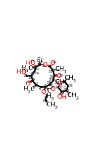 C=CCO[C@@]1(C)C[C@@H](C)C(=O)/C(CO)=C/[C@](C)(O)[C@@H](CC)OC(=O)[C@H](C)C(=O)[C@H](C)[C@H]1O[C@@H]1O[C@H](C)C[C@H](C)[C@H]1O